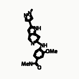 CNC(=O)c1ccc(Nc2cc3[nH]c(-c4cnn(C)c4)cc3cn2)c(OC)c1